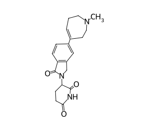 CN1CCC=C(c2ccc3c(c2)CN(C2CCC(=O)NC2=O)C3=O)CC1